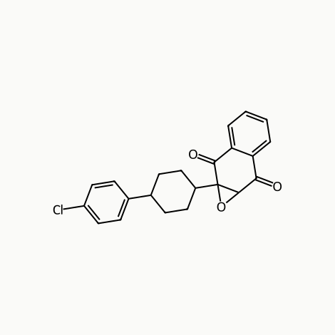 O=C1c2ccccc2C(=O)C2(C3CCC(c4ccc(Cl)cc4)CC3)OC12